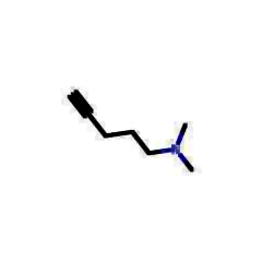 C#CCCCN(C)C